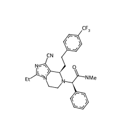 CCc1nc(C#N)c2n1CCN([C@@H](C(=O)NC)c1ccccc1)[C@@H]2CCc1ccc(C(F)(F)F)cc1